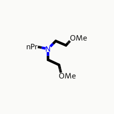 CCCN(CCOC)CCOC